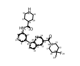 O=C(Nc1cncc(-n2ccc3cc(C(=O)N4CCC(F)(F)CC4)cnc32)c1)C1CCNCC1